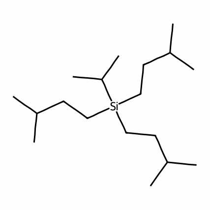 CC(C)CC[Si](CCC(C)C)(CCC(C)C)C(C)C